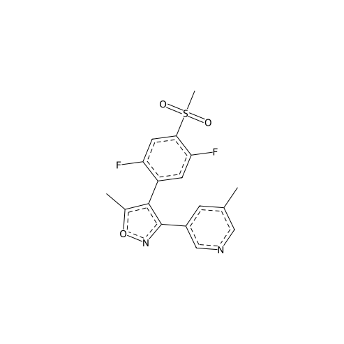 Cc1cncc(-c2noc(C)c2-c2cc(F)c(S(C)(=O)=O)cc2F)c1